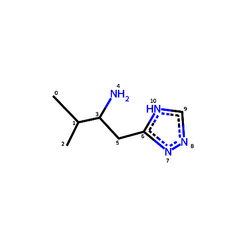 CC(C)C(N)Cc1nnc[nH]1